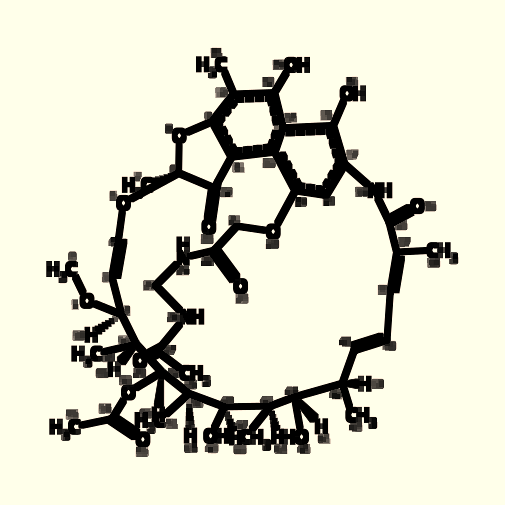 CO[C@H]1/C=C/O[C@@]2(C)Oc3c(C)c(O)c4c(O)c(cc(OCC(=O)NCNC(C)=O)c4c3C2=O)NC(=O)/C(C)=C\C=C\[C@H](C)[C@H](O)[C@@H](C)[C@@H](O)[C@@H](C)[C@H](OC(C)=O)[C@@H]1C